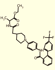 CCOC(=O)C(C)NC(=O)CC1CCN(c2ccc(NC(=O)c3ccccc3-c3ccc(C(F)(F)F)cc3)cc2)CC1